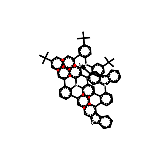 CC(C)(C)c1ccc(-c2cc3c4c(c2)N(c2c(-c5ccccc5)cccc2-c2ccccc2)c2ccc(-c5c(-c6cccc7oc8ccccc8c67)cccc5-n5c6ccccc6c6cc(C#N)ccc65)cc2B4c2ccc(C(C)(C)C)cc2N3c2ccc(C(C)(C)C)cc2-c2ccccc2)cc1